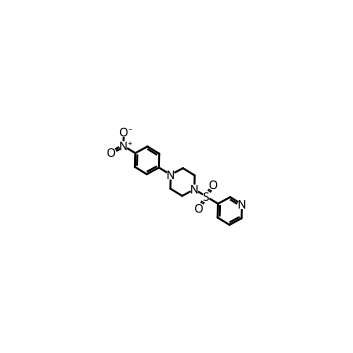 O=[N+]([O-])c1ccc(N2CCN(S(=O)(=O)c3cccnc3)CC2)cc1